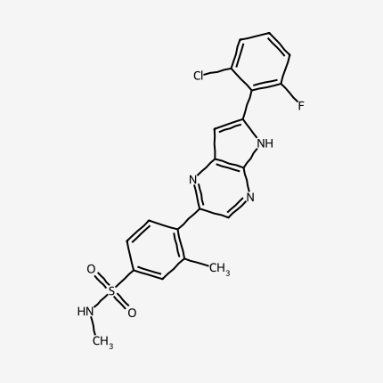 CNS(=O)(=O)c1ccc(-c2cnc3[nH]c(-c4c(F)cccc4Cl)cc3n2)c(C)c1